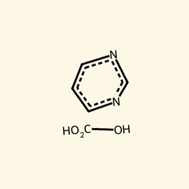 O=C(O)O.c1cncnc1